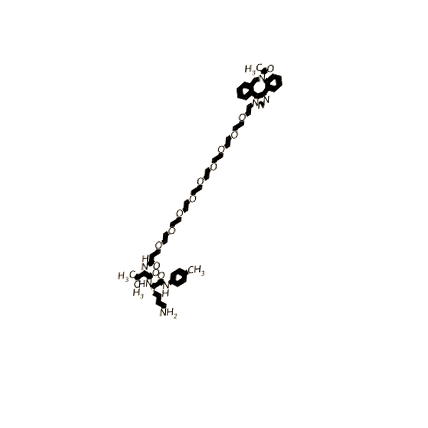 CC(=O)N1Cc2ccccc2-c2c(nnn2CCOCCOCCOCCOCCOCCOCCOCCOCCOCCC(=O)N[C@H](C(=O)N[C@@H](CCCCN)C(=O)Nc2ccc(C)cc2)C(C)C)-c2ccccc21